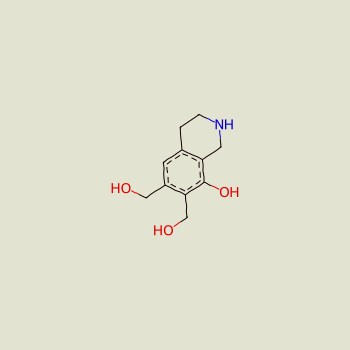 OCc1cc2c(c(O)c1CO)CNCC2